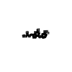 CC(C)(C)C(=O)OCn1ccc2c(Oc3cccc(N)c3)nc(Cl)nc21